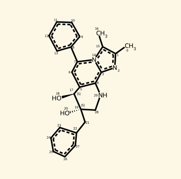 Cc1nc2c3c(cc(-c4ccccc4)n2c1C)[C@H](O)[C@](O)(Cc1ccccc1)CN3